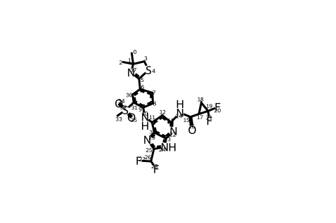 CC1(C)CSC(c2ccc(Nc3cc(NC(=O)C4CC4(F)F)nc4[nH]c(C(F)F)nc34)c(S(C)(=O)=O)c2)=N1